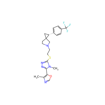 Cc1ncoc1-c1nnc(SCCN2CCC3(C[C@@H]3c3ccc(C(F)(F)F)cc3)C2)n1C